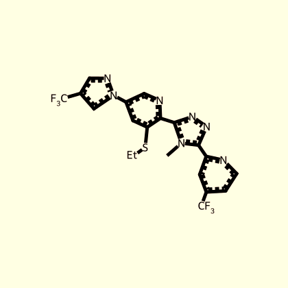 CCSc1cc(-n2cc(C(F)(F)F)cn2)cnc1-c1nnc(-c2cc(C(F)(F)F)ccn2)n1C